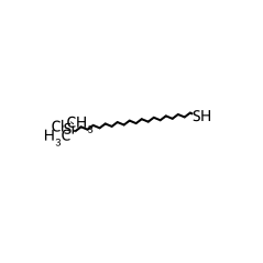 C[Si](C)(Cl)CCCCCCCCCCCCCCCCCCCCS